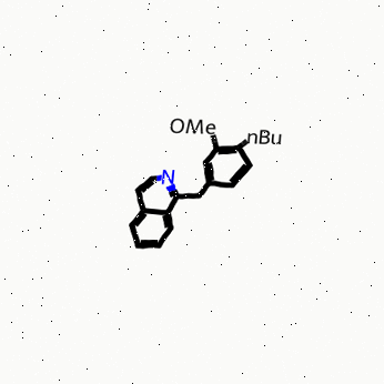 CCCCc1ccc(Cc2nccc3ccccc23)cc1OC